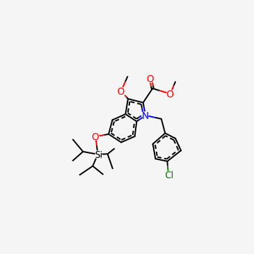 COC(=O)c1c(OC)c2cc(O[Si](C(C)C)(C(C)C)C(C)C)ccc2n1Cc1ccc(Cl)cc1